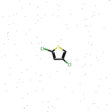 Clc1[c]sc(Cl)c1